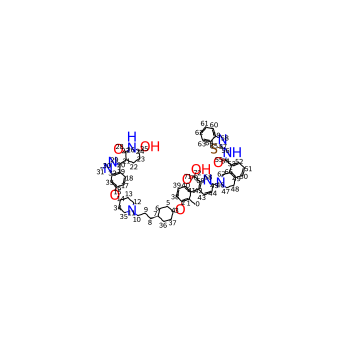 Cc1c(O[C@H]2CC[C@H](CCCN3CCC(Oc4ccc5c(C6CCC(O)NC6=O)nn(C)c5c4)CC3)CC2)cccc1-c1ccc(N2CCc3cccc(C(=O)Nc4nc5ccccc5s4)c3C2)nc1C(=O)O